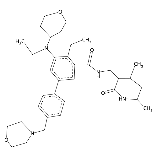 CCc1c(C(=O)NCC2C(=O)NC(C)CC2C)cc(-c2ccc(CN3CCOCC3)cc2)cc1N(CC)C1CCOCC1